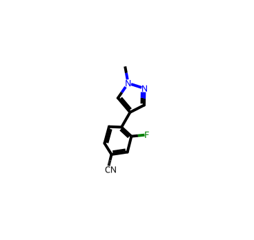 Cn1cc(-c2ccc(C#N)cc2F)cn1